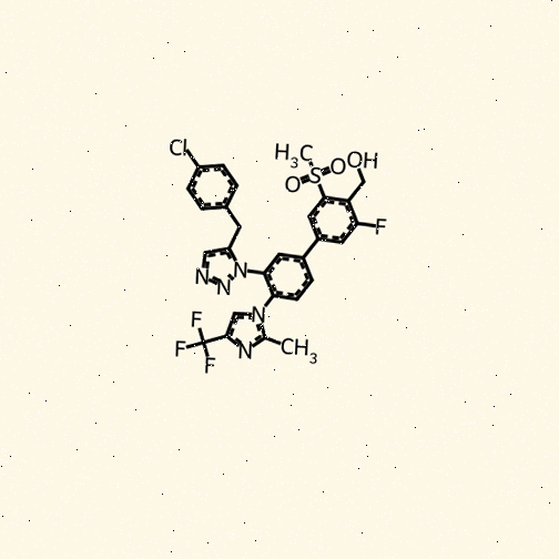 Cc1nc(C(F)(F)F)cn1-c1ccc(-c2cc(F)c(CO)c(S(C)(=O)=O)c2)cc1-n1nncc1Cc1ccc(Cl)cc1